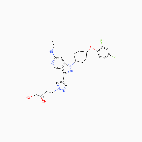 CCNc1cc2c(cn1)c(-c1cnn(CC[C@@H](O)CO)c1)nn2C1CCC(Oc2ccc(F)cc2F)CC1